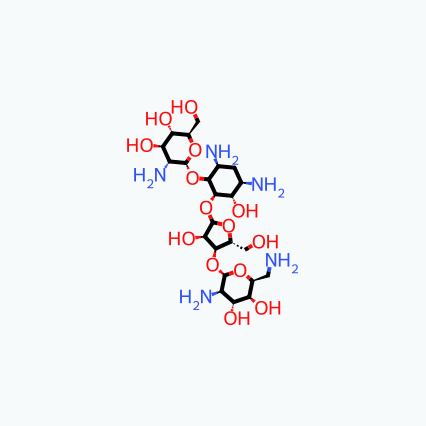 NC[C@@H]1O[C@H](O[C@@H]2[C@@H](CO)OC(O[C@H]3C(O[C@H]4O[C@H](CO)[C@@H](O)[C@H](O)[C@H]4N)[C@@H](N)C[C@@H](N)[C@@H]3O)[C@@H]2O)[C@H](N)[C@@H](O)[C@@H]1O